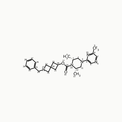 C[C@@H]1CN(c2cncc(C(F)(F)F)n2)C[C@H](C)N1C(=O)OC1CC2(C1)CN(Cc1ccccc1)C2